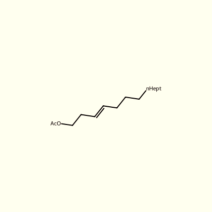 CCCCCCCCCCC=CCCOC(C)=O